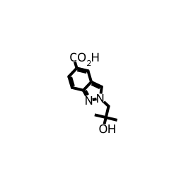 CC(C)(O)Cn1cc2cc(C(=O)O)ccc2n1